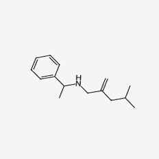 C=C(CNC(C)c1ccccc1)CC(C)C